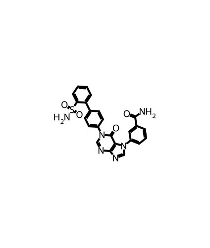 NC(=O)c1cccc(-n2cnc3ncn(-c4ccc(-c5ccccc5S(N)(=O)=O)cc4)c(=O)c32)c1